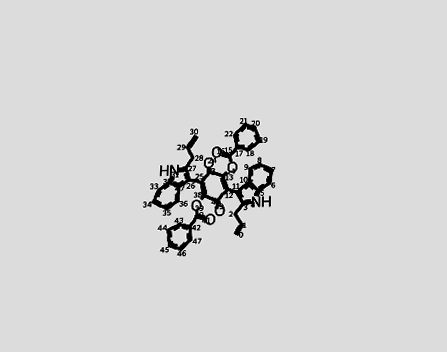 C=CCc1[nH]c2ccccc2c1C1=C(OC(=O)c2ccccc2)C(=O)C(c2c(CC=C)[nH]c3ccccc23)=C(OC(=O)c2ccccc2)C1=O